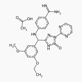 CC(=O)O.CCOc1cc(OC)cc(C(Nc2ccc(C(=N)N)cc2)c2nn(-c3ncccn3)c(=O)[nH]2)c1